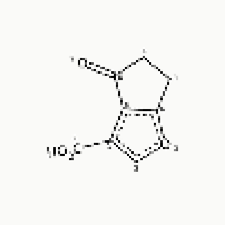 O=C(O)c1coc2c1C(=O)CC2